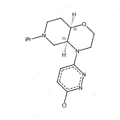 CC(C)N1CC[C@H]2OCCN(c3ccc(Cl)nn3)[C@H]2C1